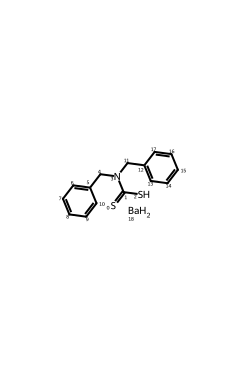 S=C(S)N(Cc1ccccc1)Cc1ccccc1.[BaH2]